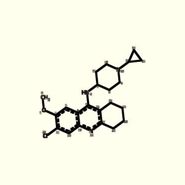 COc1cc2c(NC3CCN(C4CC4)CC3)c3c(nc2cc1Cl)CCCC3